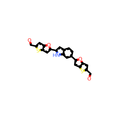 O=Cc1cc2oc(-c3ccc4cc(-c5cc6sc(C=O)cc6o5)[nH]c4c3)cc2s1